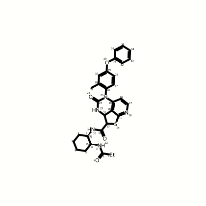 CCC(=O)N[C@H]1CCCC[C@H]1NC(=O)C1Sc2nccc3c2C1NC(=O)N3c1ccc(Oc2ccccc2)cc1C